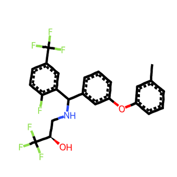 Cc1cccc(Oc2cccc(C(NC[C@@H](O)C(F)(F)F)c3cc(C(F)(F)F)ccc3F)c2)c1